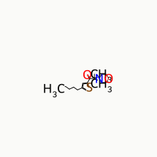 CCCCCc1csc(C(=O)C(C)(C)N2CCOCC2)c1